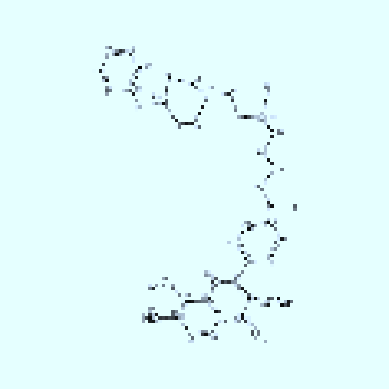 COc1c(-c2ccc(N(C)CCCCN(C)CCC3CCN(Cc4ccccc4)CC3)cc2)oc2c(OC)c(O)ccc2c1=O